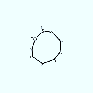 C1CCCSSOCC1